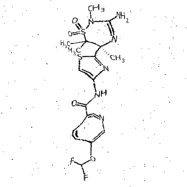 CN1C(N)=N[C@@](C)(c2nc(NC(=O)c3ccc(OC(F)F)cn3)cs2)C(C)(C)S1(=O)=O